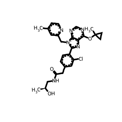 Cc1ccnc(Cn2c(-c3ccc(CC(=O)NC[C@H](C)O)cc3Cl)nc3c(OC4(C)CC4)ncnc32)c1